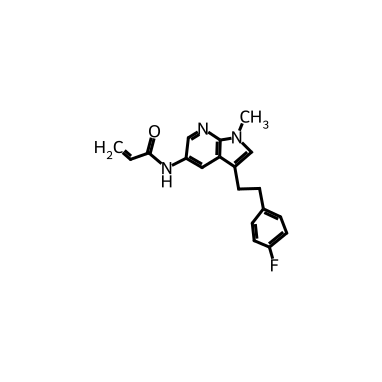 C=CC(=O)Nc1cnc2c(c1)c(CCc1ccc(F)cc1)cn2C